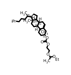 CCOC(C)OCCOC(=O)O[C@H]1CC[C@@]2(C)C(=CC[C@H]3[C@@H]4CC[C@H]([C@H](C)CCCC(C)C)[C@@]4(C)CC[C@@H]32)C1